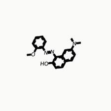 COc1ccccc1N=Nc1c(O)ccc2ccc(N(C)C)cc12